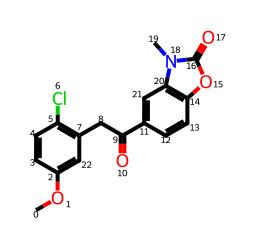 COc1ccc(Cl)c(CC(=O)c2ccc3oc(=O)n(C)c3c2)c1